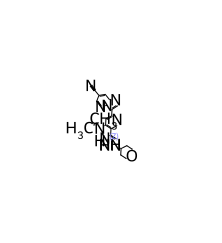 CC(C)Nc1cc(-c2cnc3cc(C#N)cnn23)ncc1/C(=C/NC1CCOCC1)N=N